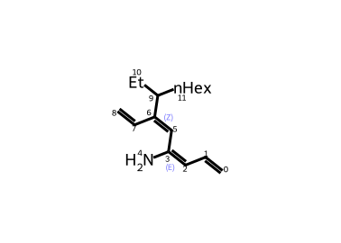 C=C/C=C(N)\C=C(/C=C)C(CC)CCCCCC